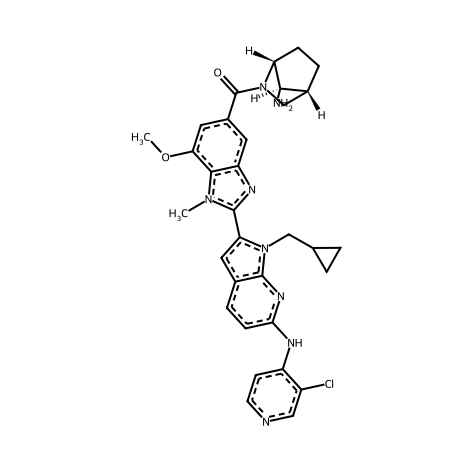 COc1cc(C(=O)N2C[C@H]3CC[C@@H]2[C@@H]3N)cc2nc(-c3cc4ccc(Nc5ccncc5Cl)nc4n3CC3CC3)n(C)c12